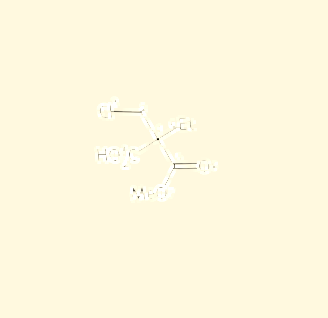 CCC(CCl)(C(=O)O)C(=O)OC